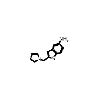 Nc1ccc2sc(CN3CCCC3)cc2c1